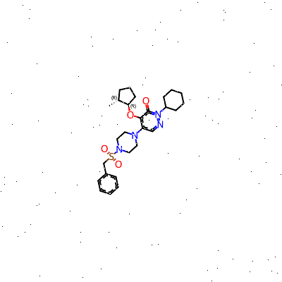 C[C@@H]1CCC[C@H]1Oc1c(N2CCN(S(=O)(=O)Cc3ccccc3)CC2)cnn(C2CCCCC2)c1=O